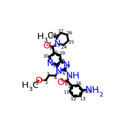 COCCCn1c(NC(=O)c2cccc(N)c2)nc2cc(C(=O)N3CCCC[C@@H]3C)cnc21